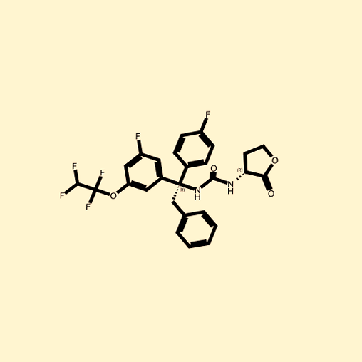 O=C(N[C@@H]1CCOC1=O)N[C@](Cc1ccccc1)(c1ccc(F)cc1)c1cc(F)cc(OC(F)(F)C(F)F)c1